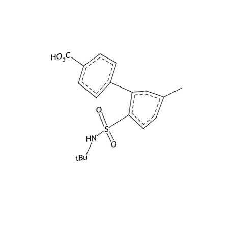 Cc1ccc(S(=O)(=O)NC(C)(C)C)c(-c2ccc(C(=O)O)cc2)c1